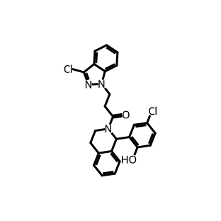 O=C(CCn1nc(Cl)c2ccccc21)N1CCc2ccccc2C1c1cc(Cl)ccc1O